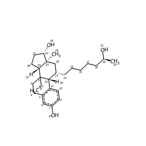 C=CC12CCc3cc(O)ccc3[C@H]1[C@@H](CCCCC[C@H](C)O)C[C@]1(C)[C@@H](O)CC[C@@H]21